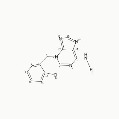 CCNc1ncn(Cc2ccccc2Cl)c2ncnc1-2